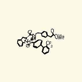 COC(=O)Cc1ccc(CNC(=O)[C@@H]2Cc3ccccc3N2S(=O)(=O)c2ccc(-c3ccccc3C(F)(F)F)cc2)cc1